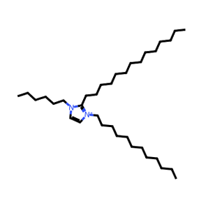 CCCCCCCCCCCCCCc1n(CCCCCC)cc[n+]1CCCCCCCCCCCC